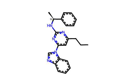 CCCc1cc(-n2cnc3ccccc32)nc(N[C@@H](C)c2ccccc2)n1